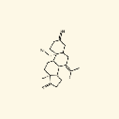 C[C@]12CCC3C(C(=C(F)F)CC4CC(=N)CC[C@@]43CO)C1CCC2=O